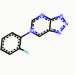 Fc1ccccc1-n1cnc2nnnc-2c1